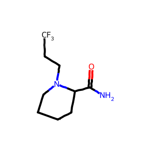 NC(=O)C1C[CH]CCN1CCC(F)(F)F